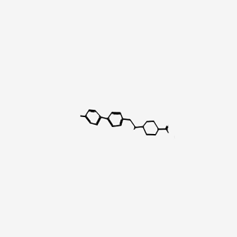 CCC(=O)C1CCC(C(F)Cc2ccc(-c3ccc(F)cc3)cc2)CC1